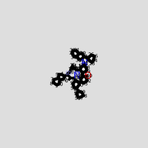 CC1/C(c2ccc3ccccc3c2)=C/C2C[C@H]2/C(c2cc(-n3c4ccccc4c4cc5ccccc5cc43)cc3oc4ccccc4c23)=N\C1c1ccc(-c2ccccc2)cc1